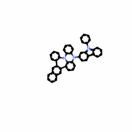 c1ccc(-n2c3ccccc3c3ccc(N4c5ccccc5N5c6ccccc6-c6cc7ccccc7cc6-c6cccc4c65)cc32)cc1